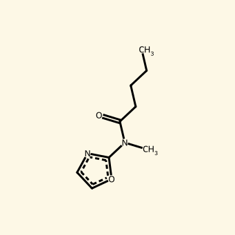 CCCCC(=O)N(C)c1ncco1